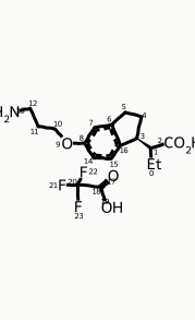 CCC(C(=O)O)[C@@H]1CCc2cc(OCCCN)ccc21.O=C(O)C(F)(F)F